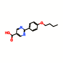 CCCCOc1ccc(-c2ncc(C(=O)O)cn2)cc1